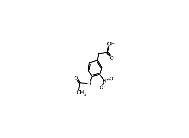 CC(=O)Oc1ccc(CC(=O)O)cc1[N+](=O)[O-]